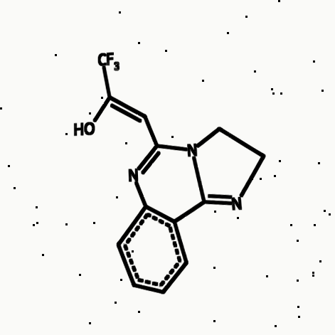 O/C(=C\C1=Nc2ccccc2C2=NCCN12)C(F)(F)F